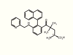 CC(C)(C[C@H](N)C(=O)O)C(=O)c1cccc(NCc2ccccn2)c1-c1cccc2ccccc12